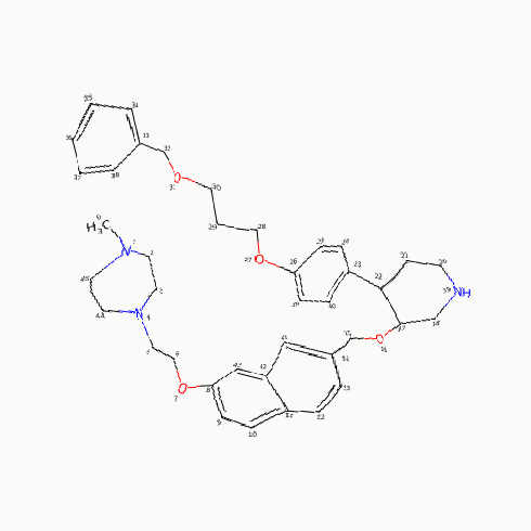 CN1CCN(CCOc2ccc3ccc(COC4CNCCC4c4ccc(OCCCOCc5ccccc5)cc4)cc3c2)CC1